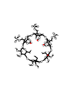 CCC1OC2OC3C(CC)OC(OC4C(COS(C)(=O)=O)OC(OC5C(COS(C)(=O)=O)OC(OC6C(COS(C)(=O)=O)OC(OC7C(CC)OC(OC1C(OC)C2OC)C(OC)C7OC)C(OC)C6OC)C(OC)C5OC)C(OC)C4OC)C(OC)C3OC